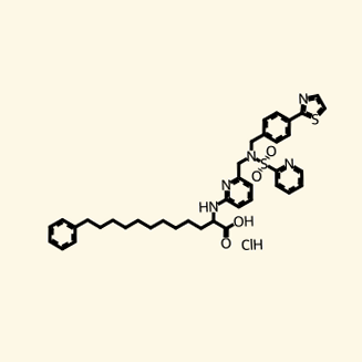 Cl.O=C(O)C(CCCCCCCCCCc1ccccc1)Nc1cccc(CN(Cc2ccc(-c3nccs3)cc2)S(=O)(=O)c2ccccn2)n1